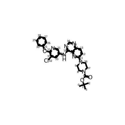 CC(C)(C)OC(=O)N1CCN(c2ccc3ncnc(Nc4cnc(Oc5ccccc5)c(Cl)c4)c3n2)CC1